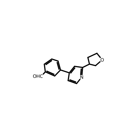 O=Cc1cccc(-c2ccnc(C3CCOC3)c2)c1